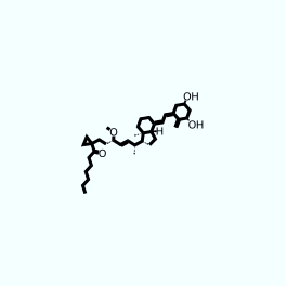 C=C1/C(=C\C=C2/CCC[C@]3(C)[C@@H]([C@H](C)/C=C/[C@H](CCC4(C(=O)CCCCCC)CC4)OC)CC[C@@H]23)C[C@@H](O)C[C@@H]1O